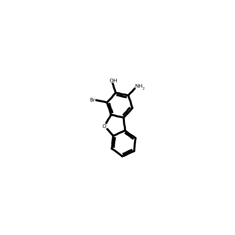 Nc1cc2c(oc3ccccc32)c(Br)c1O